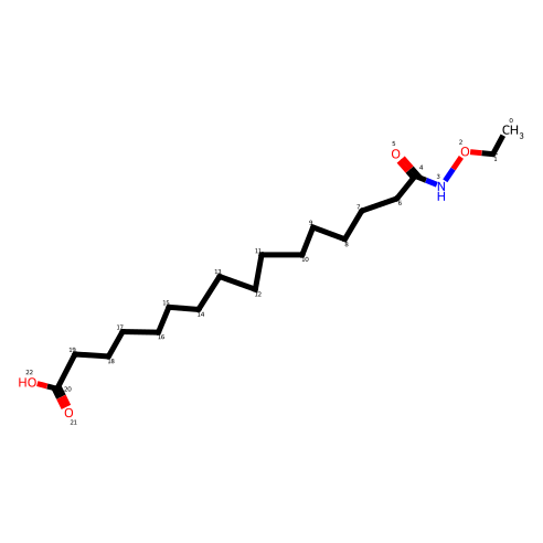 C[CH]ONC(=O)CCCCCCCCCCCCCCC(=O)O